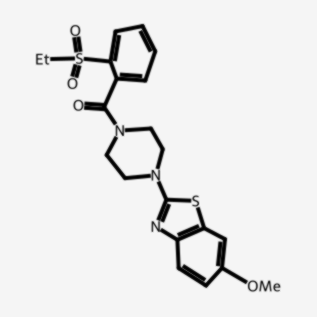 CCS(=O)(=O)c1ccccc1C(=O)N1CCN(c2nc3ccc(OC)cc3s2)CC1